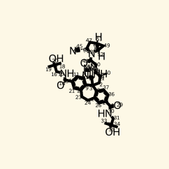 C[C@@H](CC1(c2nnn[nH]2)c2ccc(C(=O)NCC(C)(C)O)cc2CCc2cc(C(=O)NCC(C)(C)O)ccc21)NCC(=O)N1[C@H](C#N)C[C@@H]2C[C@@H]21